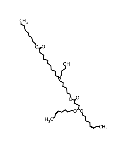 CC/C=C\CCCCOC(CCC(=O)OCCCCCCN(CCCO)CCCCCCCCCC(=O)OCCCCCCCCC)OCCCC/C=C\CC